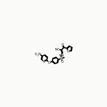 C[SH](=O)(N/C=C(\C#N)C(=O)c1ccco1)c1ccc(Oc2ccc([N+](=O)[O-])cn2)cc1